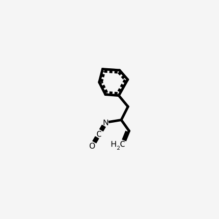 C=CC(Cc1ccccc1)N=C=O